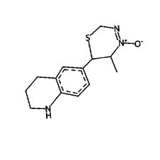 CC1C(c2ccc3c(c2)CCCN3)SCN=[N+]1[O-]